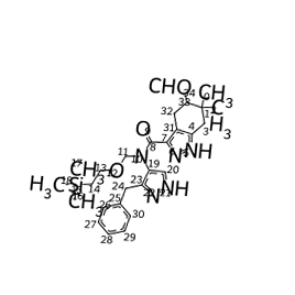 CC1(C)Cc2[nH]nc(C(=O)N(COCC[Si](C)(C)C)c3c[nH]nc3Cc3ccccc3)c2CC1C=O